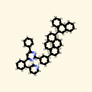 c1ccc(-c2cc(-c3ccccc3-c3cccnc3)nc(-c3cccc(-c4ccc5ccc6c(-c7cc8ccccc8c8ccccc78)ccc7ccc4c5c76)c3)n2)cc1